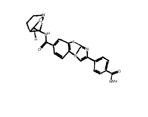 CNC(=O)c1ccc(-c2cn3c(n2)sc2cc(C(=O)N[C@H]4CN5CCC4CC5)ccc23)cc1